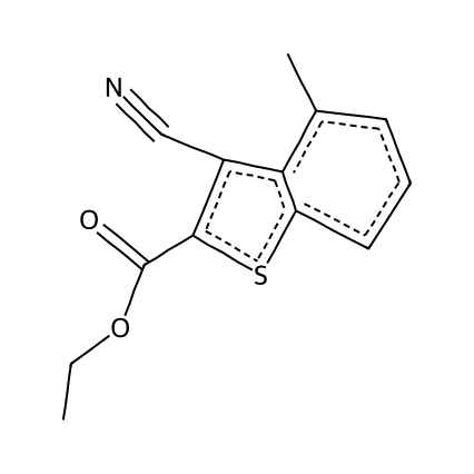 CCOC(=O)c1sc2cccc(C)c2c1C#N